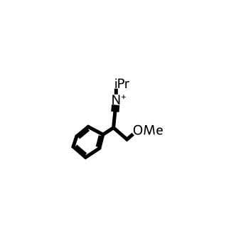 COCC(C#[N+]C(C)C)c1ccccc1